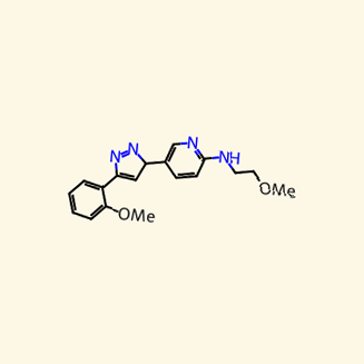 COCCNc1ccc(C2C=C(c3ccccc3OC)N=N2)cn1